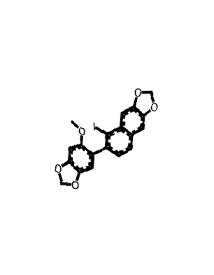 COc1cc2c(cc1-c1ccc3cc4c(cc3c1I)OCO4)OCO2